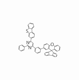 c1ccc(-c2nc(-c3cccc(-c4ccc5c(c4)C4(c6ccccc6O5)c5ccccc5-c5ccccc54)c3)cc(-c3ccc4c(c3)sc3ccccc34)n2)cc1